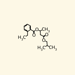 CCc1ccccc1C(=O)OC(C)CC(=O)OCC(C)C